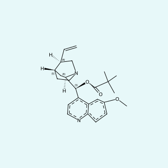 C=C[C@H]1CN2CC[C@H]1C[C@@H]2[C@@H](OC(=O)C(C)(C)C)c1ccnc2ccc(OC)cc12